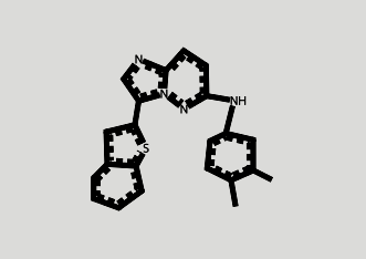 Cc1ccc(Nc2ccc3ncc(-c4cc5ccccc5s4)n3n2)cc1C